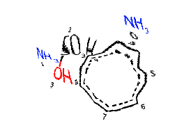 N.N.O=S(=O)(O)O.c1ccccc1